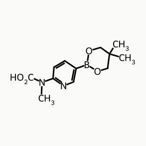 CN(C(=O)O)c1ccc(B2OCC(C)(C)CO2)cn1